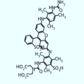 Cc1cc(C)c(Nc2ccc3c(-c4ccccc4S(=O)(=O)O)c4cc/c(=N\c5c(C)c(NC(=O)N(CC(=O)O)CC(=O)O)c(C)c(S(=O)(=O)O)c5C)cc-4oc3c2)c(C)c1NC(N)=O